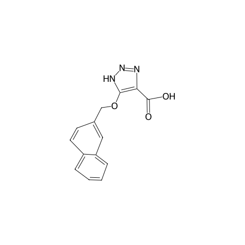 O=C(O)c1nn[nH]c1OCc1ccc2ccccc2c1